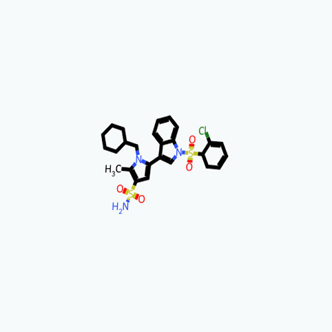 Cc1c(S(N)(=O)=O)cc(-c2cn(S(=O)(=O)C3CC=CC=C3Cl)c3ccccc23)n1CC1CCCCC1